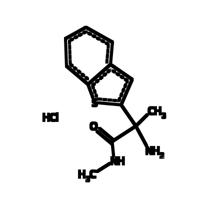 CNC(=O)C(C)(N)c1cc2ccccc2s1.Cl